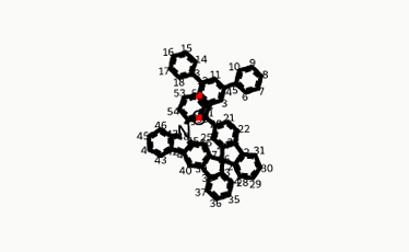 O=C(c1cc(-c2ccccc2)cc(-c2ccccc2)c1)c1ccc2c(c1)C1(c3ccccc3-2)c2ccccc2-c2cc3c4ccccc4n(-c4ccccc4)c3cc21